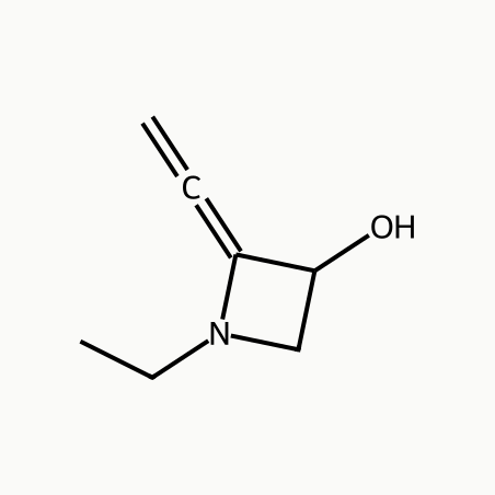 C=C=C1C(O)CN1CC